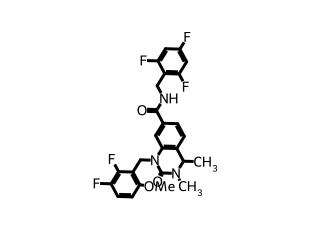 COc1ccc(F)c(F)c1CN1C(=O)N(C)C(C)c2ccc(C(=O)NCc3c(F)cc(F)cc3F)cc21